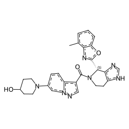 Cc1cccc2oc([C@@H]3c4nc[nH]c4CCN3C(=O)c3cnn4cc(N5CCC(O)CC5)ccc34)nc12